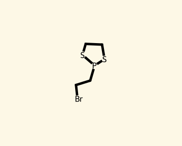 BrCCP1SCCS1